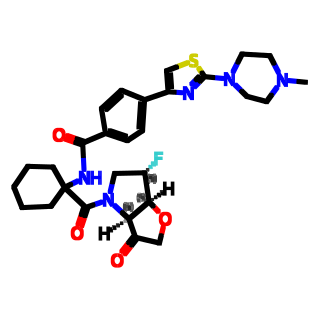 CN1CCN(c2nc(-c3ccc(C(=O)NC4(C(=O)N5C[C@H](F)[C@H]6OCC(=O)[C@H]65)CCCCC4)cc3)cs2)CC1